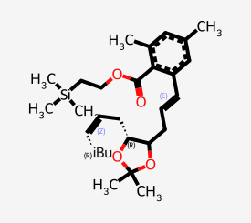 CC[C@@H](C)/C=C\C[C@H]1OC(C)(C)OC1C/C=C/c1cc(C)cc(C)c1C(=O)OCC[Si](C)(C)C